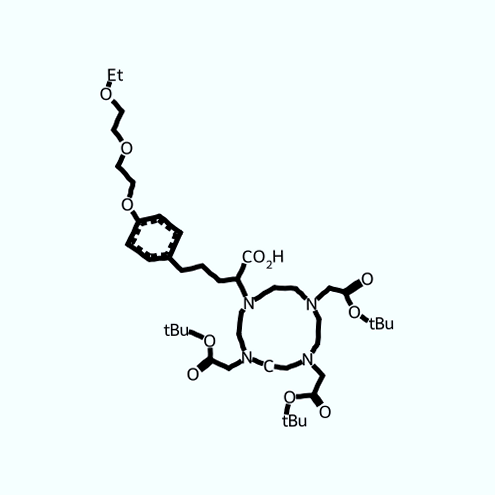 CCOCCOCCOc1ccc(CCCC(C(=O)O)N2CCN(CC(=O)OC(C)(C)C)CCN(CC(=O)OC(C)(C)C)CCN(CC(=O)OC(C)(C)C)CC2)cc1